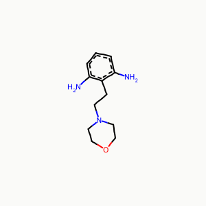 Nc1cccc(N)c1CCN1CCOCC1